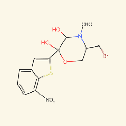 O=CN1C(CBr)COC(O)(c2cc3cccc([N+](=O)[O-])c3s2)C1O